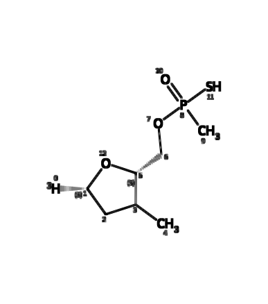 [3H][C@H]1CC(C)[C@@H](COP(C)(=O)S)O1